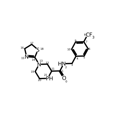 O=C(NCc1ccc(C(F)(F)F)cc1)C1CN(C2=NCCS2)CCP1